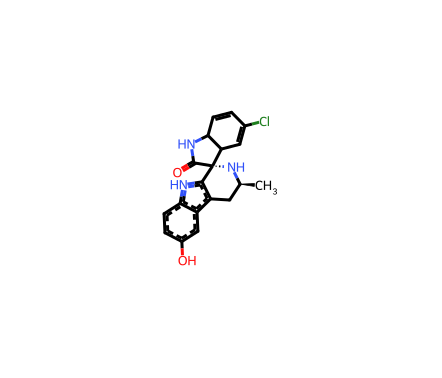 C[C@H]1Cc2c([nH]c3ccc(O)cc23)[C@@]2(N1)C(=O)NC1C=CC(Cl)=CC12